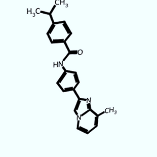 Cc1cccn2cc(-c3ccc(NC(=O)c4ccc(C(C)C)cc4)cc3)nc12